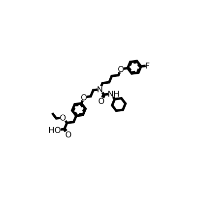 CCOC(Cc1ccc(OCCN(CCCCOc2ccc(F)cc2)C(=O)NC2CCCCC2)cc1)C(=O)O